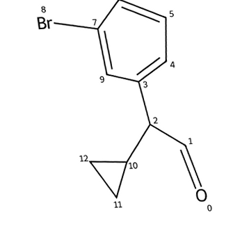 O=CC(c1cccc(Br)c1)C1CC1